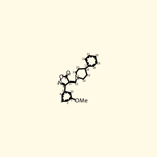 COc1cccc(C2=NOC(=O)C2=CN2CCC(c3ccccc3)CC2)c1